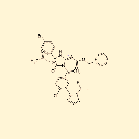 [CH2][C@@H](c1ccc(Cl)c(-c2ncnn2C(F)F)c1)N1C(=O)[C@@](CC(=C)C)(c2ccc(Br)cc2)N/C1=N/C(=O)OCc1ccccc1